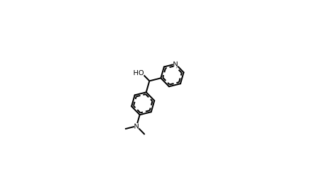 CN(C)c1ccc(C(O)c2cccnc2)cc1